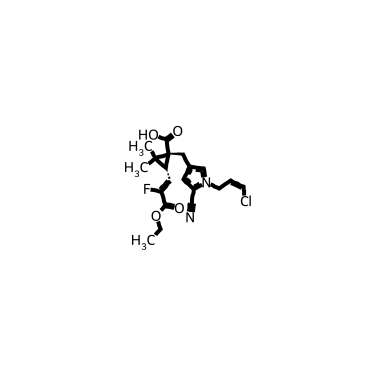 CCOC(=O)C(F)=C[C@@H]1C(C)(C)[C@]1(Cc1cc(C#N)n(C/C=C\Cl)c1)C(=O)O